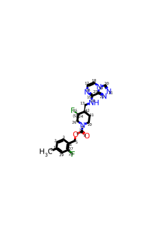 Cc1ccc(COC(=O)N2CC[C@H](CNc3nccn4cnnc34)[C@H](F)C2)c(F)c1